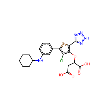 O=C(O)CC(Oc1c(-c2nn[nH]n2)sc(-c2cccc(NC3CCCCC3)c2)c1Cl)C(=O)O